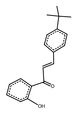 CC(C)(C)c1ccc(C=CC(=O)c2ccccc2O)cc1